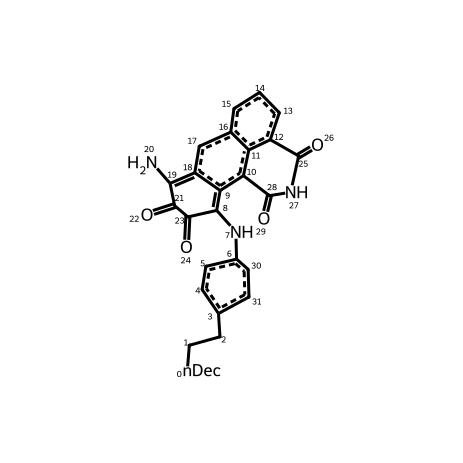 CCCCCCCCCCCCc1ccc(NC2=c3c4c5c(cccc5cc3=C(N)C(=O)C2=O)C(=O)NC4=O)cc1